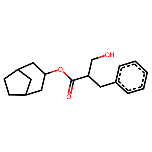 O=C(OC1CC2CCC(C2)C1)C(CO)Cc1ccccc1